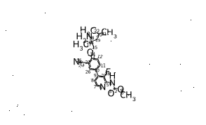 COC(=O)Nc1nccc(-c2ccc(OCC(C)(N)CC(C)C)c(C#N)c2)c1F